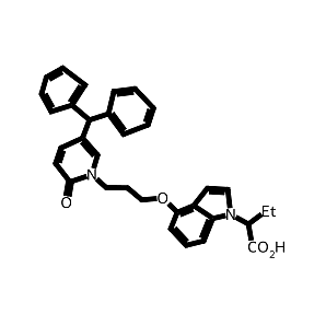 CCC(C(=O)O)n1ccc2c(OCCCn3cc(C(c4ccccc4)c4ccccc4)ccc3=O)cccc21